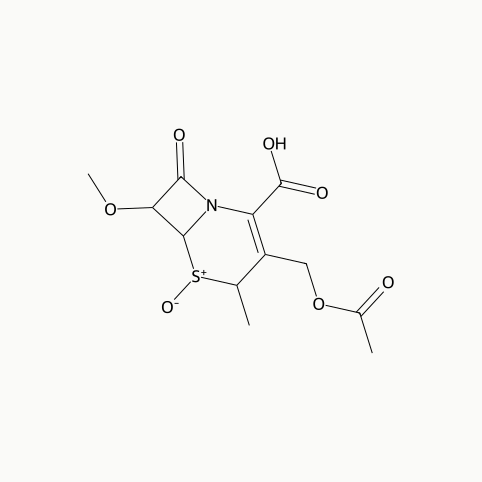 COC1C(=O)N2C(C(=O)O)=C(COC(C)=O)C(C)[S+]([O-])C12